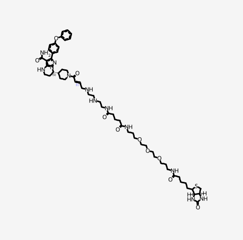 NC(=O)c1c(-c2ccc(Oc3ccccc3)cc2)nn2c1NCC[C@H]2C1CCN(C(=O)/C=C/CNCCNCCNC(=O)CCCC(=O)NCCCOCCOCCOCCCNC(=O)CCCCC2SC[C@H]3NC(=O)N[C@@H]23)CC1